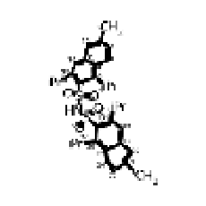 Cc1ccc2c(C(C)C)c(S(=O)(=O)NS(=O)(=O)c3c(C(C)C)cc4cc(C)ccc4c3C(C)C)c(C(C)C)cc2c1